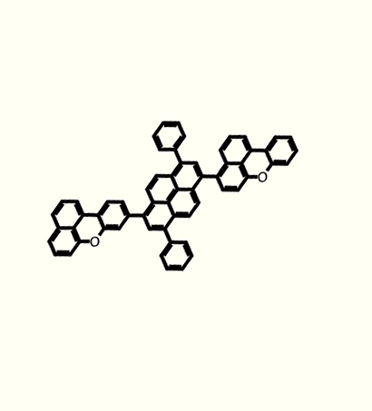 c1ccc(-c2cc(-c3ccc4c(c3)Oc3cccc5cccc-4c35)c3ccc4c(-c5ccccc5)cc(-c5ccc6c7c(cccc57)-c5ccccc5O6)c5ccc2c3c45)cc1